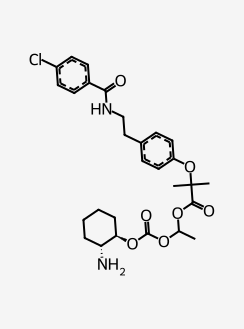 CC(OC(=O)O[C@@H]1CCCC[C@H]1N)OC(=O)C(C)(C)Oc1ccc(CCNC(=O)c2ccc(Cl)cc2)cc1